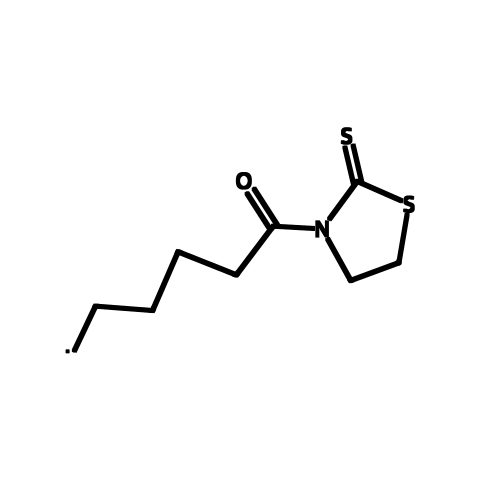 [CH2]CCCCC(=O)N1CCSC1=S